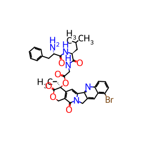 CC[C@@]1(OC(=O)CNC(=O)[C@H](CC(C)C)NC(=O)[C@@H](N)Cc2ccccc2)C(=O)OCc2c1cc1n(c2=O)Cc2cc3c(Br)cccc3nc2-1